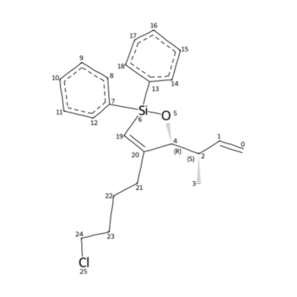 C=C[C@H](C)[C@H]1O[Si](c2ccccc2)(c2ccccc2)C=C1CCCCCl